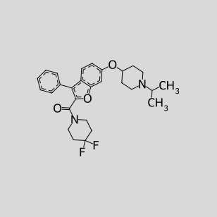 CC(C)N1CCC(Oc2ccc3c(-c4ccccc4)c(C(=O)N4CCC(F)(F)CC4)oc3c2)CC1